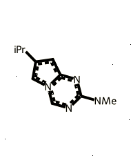 CNc1ncn2cc(C(C)C)cc2n1